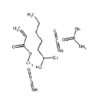 C=CC(=O)OC.CCCCCC(O)O.N=C=O.N=C=O.NC(=O)O